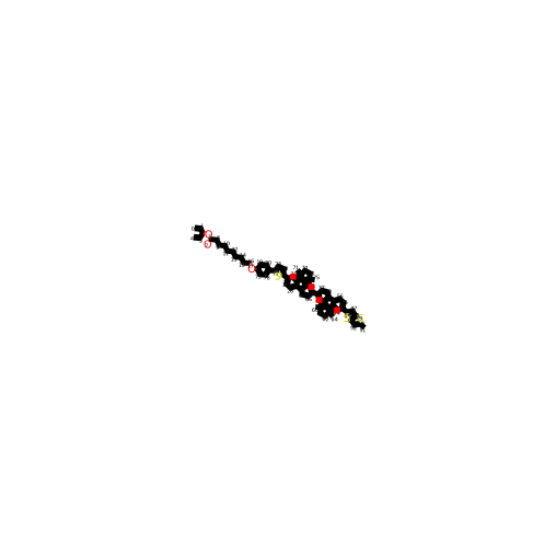 C=CC(C=C)OC(=O)CCCCCCCCCOc1ccc(-c2ccc(-c3ccc4c(c3)C3(c5cc(-c6ccc7c(c6)C6(c8cc(-c9cc%10sc(C)cc%10s9)ccc8-7)C(C)(C)CCC6(C)C)ccc5-4)C(C)(C)CCC3(C)C)s2)cc1